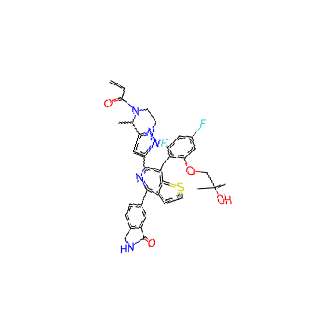 C=CC(=O)N1CCn2nc(-c3nc(-c4ccc5c(c4)C(=O)NC5)c4ccsc4c3-c3c(F)cc(F)cc3OCC(C)(C)O)cc2C1C